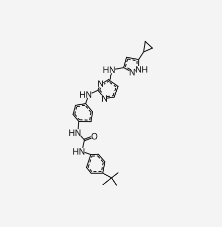 CC(C)(C)c1ccc(NC(=O)Nc2ccc(Nc3nccc(Nc4cc(C5CC5)[nH]n4)n3)cc2)cc1